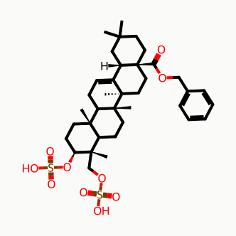 CC1(C)CC[C@]2(C(=O)OCc3ccccc3)CC[C@]3(C)C(=CCC4[C@@]5(C)CC[C@H](OS(=O)(=O)O)[C@@](C)(COS(=O)(=O)O)C5CC[C@]43C)[C@@H]2C1